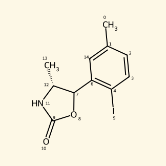 Cc1ccc(I)c(C2OC(=O)N[C@@H]2C)c1